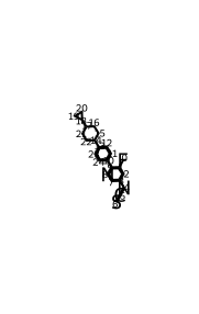 Fc1cc(N=C=S)cnc1-c1ccc(C2CCC(C3CC3)CC2)cc1